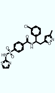 Cc1cc(CC(NC(=O)c2ccc(S(=O)(=O)Nc3nccs3)cc2)c2cccc(Cl)c2)on1